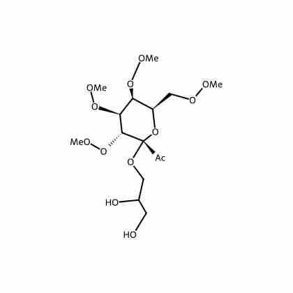 COOC[C@H]1O[C@@](OCC(O)CO)(C(C)=O)[C@H](OOC)[C@@H](OOC)[C@H]1OOC